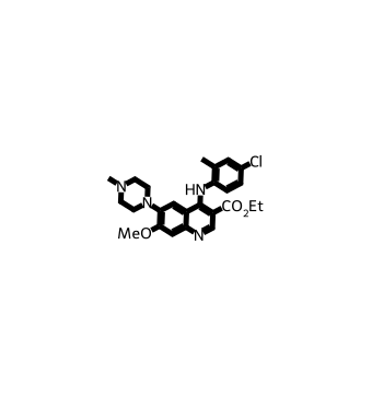 CCOC(=O)c1cnc2cc(OC)c(N3CCN(C)CC3)cc2c1Nc1ccc(Cl)cc1C